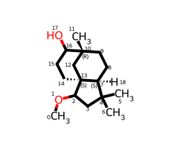 COC1CC(C)(C)[C@@H]2CC[C@]3(C)C[C@]12CCC3O